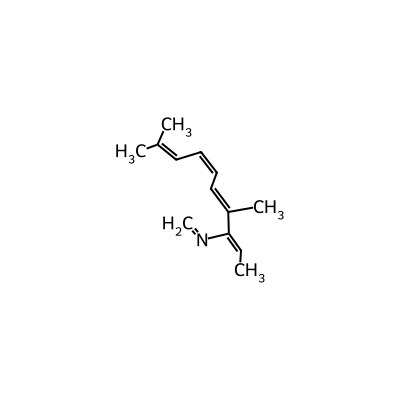 C=NC(=C\C)/C(C)=C/C=C\C=C(C)C